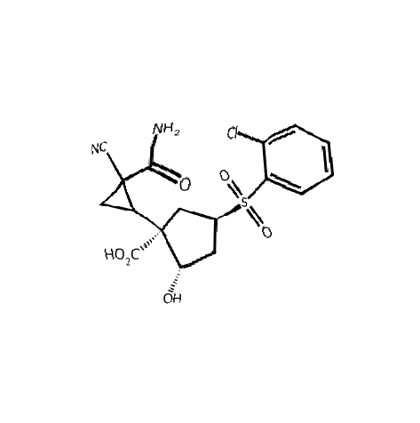 N#CC1(C(N)=O)CC1[C@@]1(C(=O)O)C[C@@H](S(=O)(=O)c2ccccc2Cl)C[C@@H]1O